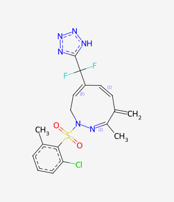 C=C1/C=C\C(C(F)(F)c2nnn[nH]2)=C/CN(S(=O)(=O)c2c(C)cccc2Cl)/N=C\1C